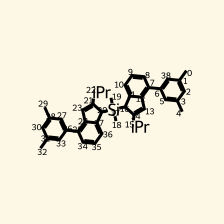 Cc1cc(C)cc(-c2cccc3c2C=C(C(C)C)C3[Si](C)(C)C2C(C(C)C)=Cc3c(-c4cc(C)cc(C)c4)cccc32)c1